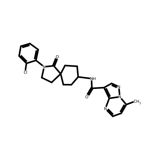 Cc1ccnc2c(C(=O)NC3CCC4(CC3)CCN(c3ccccc3Cl)C4=O)cnn12